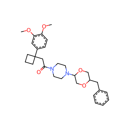 COc1ccc(C2(CC(=O)N3CCN(C4COC(Cc5ccccc5)CO4)CC3)CCC2)cc1OC